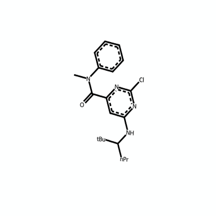 CCCC(Nc1cc(C(=O)N(C)c2ccccc2)nc(Cl)n1)C(C)(C)C